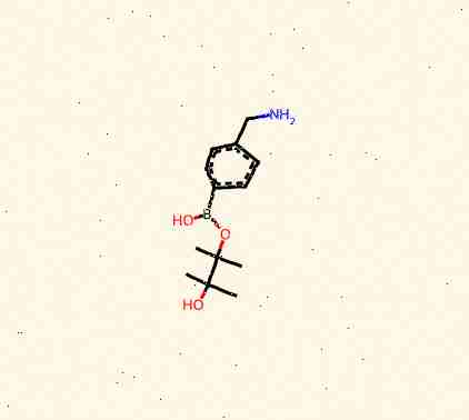 CC(C)(O)C(C)(C)OB(O)c1ccc(CN)cc1